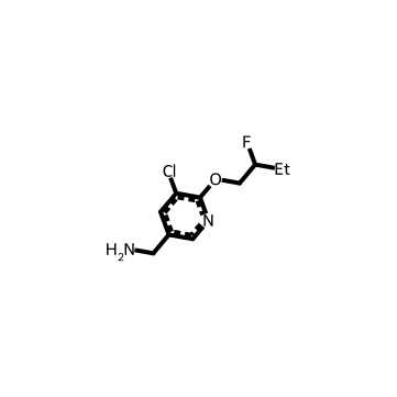 CCC(F)COc1ncc(CN)cc1Cl